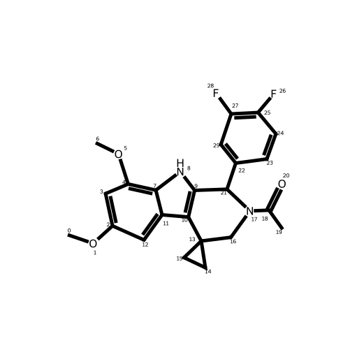 COc1cc(OC)c2[nH]c3c(c2c1)C1(CC1)CN(C(C)=O)C3c1ccc(F)c(F)c1